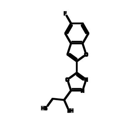 Fc1ccc2oc(-c3nnc(C(S)CS)o3)cc2c1